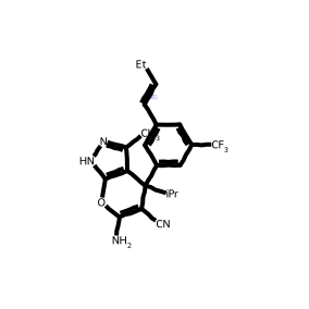 CC/C=C/c1cc(C(F)(F)F)cc(C2(C(C)C)C(C#N)=C(N)Oc3[nH]nc(C)c32)c1